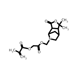 C=C(C)C(=O)OCC(=O)OCN1CC2CC1C1C(=O)OC(C)(C)C21